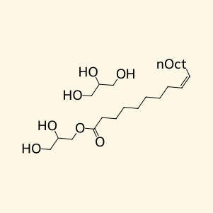 CCCCCCCC/C=C\CCCCCCCC(=O)OCC(O)CO.OCC(O)CO